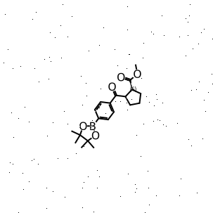 COC(=O)[C@H]1CCCC1C(=O)c1ccc(B2OC(C)(C)C(C)(C)O2)cc1